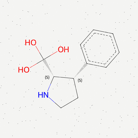 OC(O)(O)[C@H]1NCC[C@H]1c1ccccc1